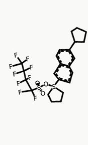 O=S(=O)(OS1(c2ccc3cc(C4CCCC4)ccc3c2)CCCC1)C(F)(F)C(F)(F)C(F)(F)C(F)(F)F